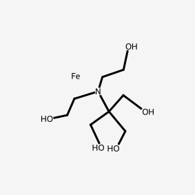 OCCN(CCO)C(CO)(CO)CO.[Fe]